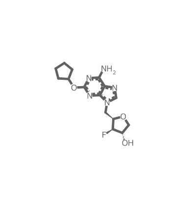 Nc1nc(OC2CCCC2)nc2c1ncn2C[C@H]1OC[C@H](O)[C@H]1F